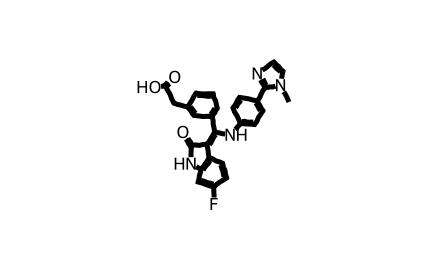 Cn1ccnc1-c1ccc(NC(=C2C(=O)Nc3cc(F)ccc32)c2cccc(CC(=O)O)c2)cc1